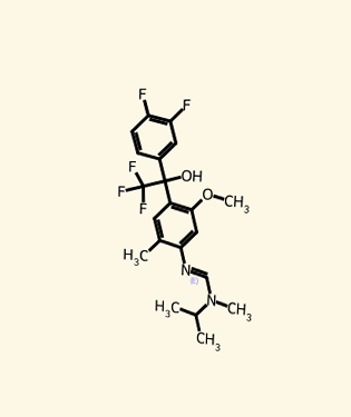 COc1cc(/N=C/N(C)C(C)C)c(C)cc1C(O)(c1ccc(F)c(F)c1)C(F)(F)F